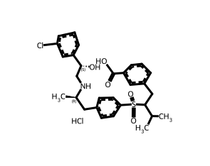 CC(C)C(Cc1cccc(C(=O)O)c1)S(=O)(=O)c1ccc(C[C@@H](C)NC[C@@H](O)c2cccc(Cl)c2)cc1.Cl